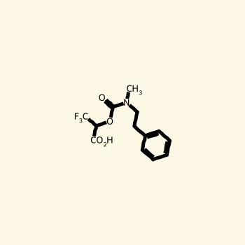 CN(CCc1ccccc1)C(=O)OC(C(=O)O)C(F)(F)F